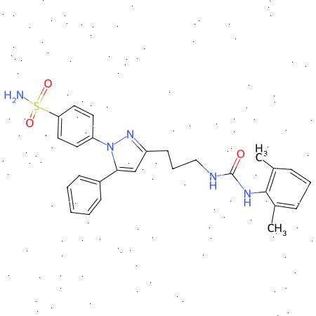 Cc1cccc(C)c1NC(=O)NCCCc1cc(-c2ccccc2)n(-c2ccc(S(N)(=O)=O)cc2)n1